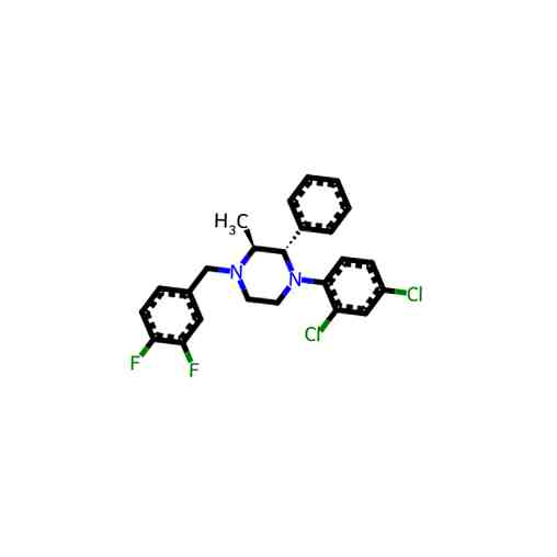 C[C@H]1[C@H](c2ccccc2)N(c2ccc(Cl)cc2Cl)CCN1Cc1ccc(F)c(F)c1